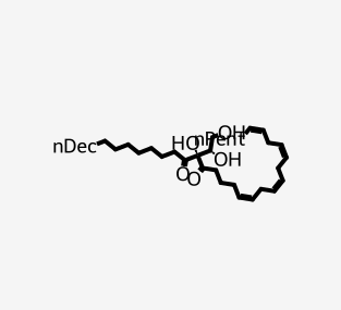 CCCCC/C=C\C/C=C\C/C=C\C/C=C\CCCC(=O)[C@@](O)(C(=O)CCCCCCCCCCCCCCCCC)[C@@H](O)CO